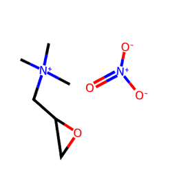 C[N+](C)(C)CC1CO1.O=[N+]([O-])[O-]